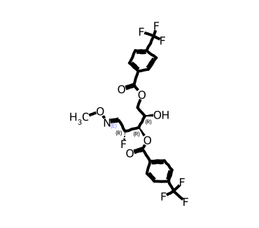 CO/N=C/[C@@H](F)[C@H](OC(=O)c1ccc(C(F)(F)F)cc1)[C@H](O)COC(=O)c1ccc(C(F)(F)F)cc1